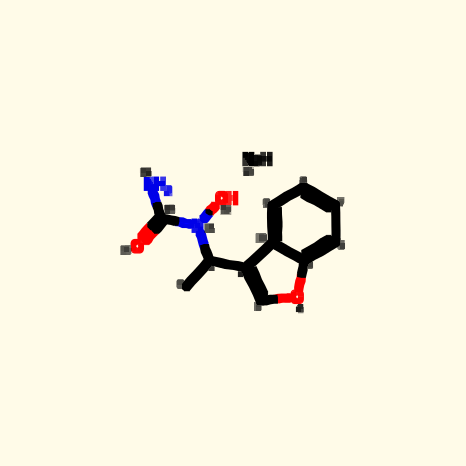 CC(c1coc2ccccc12)N(O)C(N)=O.[NaH]